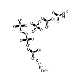 O=S(=O)([O-])OOS(=O)(=O)[O-].O=S(=O)([O-])[O-].O=S([O-])O.O=S([O-])O.O=S([O-])O.[Fe+3].[K+].[K+].[K+].[K+]